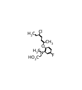 C=C/C(Cl)=C\C=C(/C)Oc1ccc(F)cc1N(C)CC(=O)O